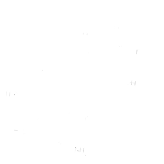 CCC(=O)C1=C(O)CC(c2c(C)c(C)c(C)c(C(N)=O)c2C)CC1=O